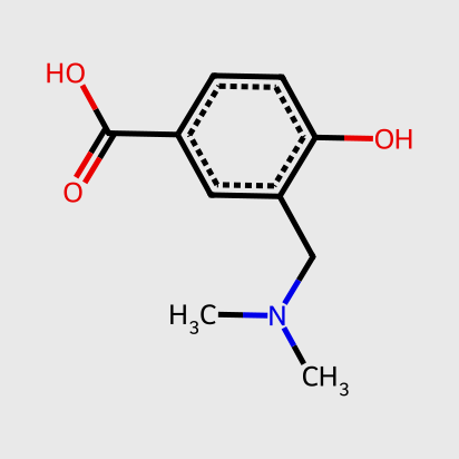 CN(C)Cc1cc(C(=O)O)ccc1O